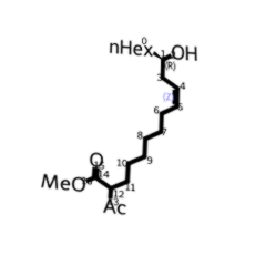 CCCCCC[C@@H](O)C/C=C\CCCCCCC(C(C)=O)C(=O)OC